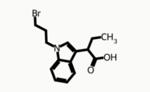 CCC(C(=O)O)c1cn(CCCBr)c2ccccc12